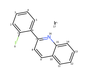 Fc1ccccc1-c1ccc2ccccc2n1.[Ir]